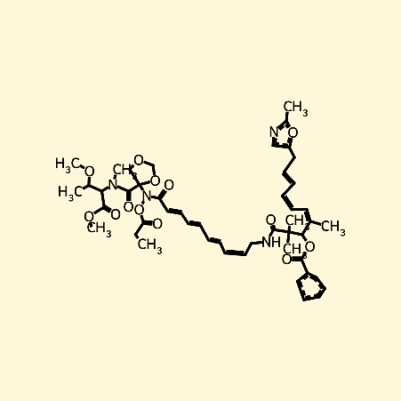 CCC(=O)ON(C(=O)/C=C/C=C/C=C/C=C\CNC(=O)C(C)(C)C(OC(=O)c1ccccc1)\C(C)=C/C=C\C=C\Cc1cnc(C)o1)C1(C(=O)N(C)C(C(=O)OC)C(C)OC)COCO1